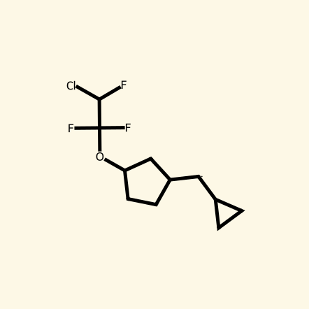 FC(Cl)C(F)(F)OC1CCC([CH]C2CC2)C1